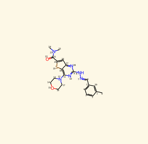 Cc1cccc(/C=N/Nc2nc(N3CCOCC3)c3sc(C(=O)N(C)C)cc3n2)c1